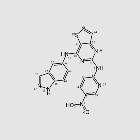 O=[N+](O)c1ccc(Nc2nc(Nc3ccc4[nH]ncc4c3)c3sccc3n2)nc1